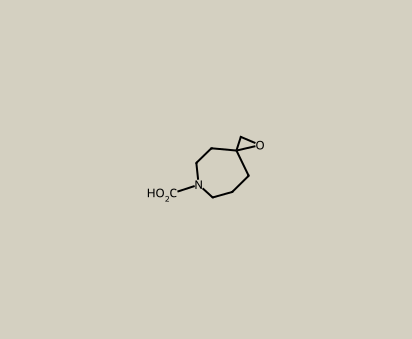 O=C(O)N1CCCC2(CC1)CO2